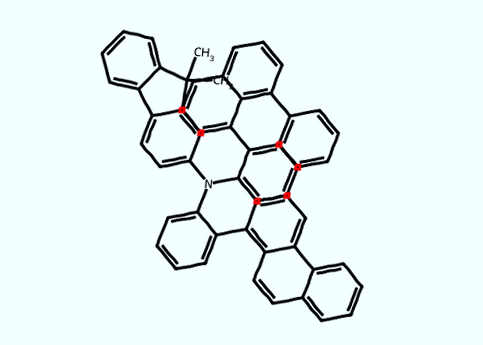 CC1(C)c2ccccc2-c2ccc(N(c3ccccc3-c3cccc4c3ccc3ccccc34)c3ccccc3-c3cccc4cccc(-c5ccccc5)c34)cc21